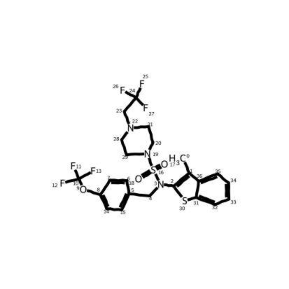 Cc1c(N(Cc2ccc(OC(F)(F)F)cc2)S(=O)(=O)N2CCN(CC(F)(F)F)CC2)sc2ccccc12